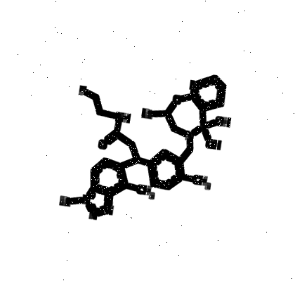 CCC1CN(Cc2cc(C(CC(=O)NCCF)c3ccc4c(nnn4CC)c3C)ccc2C)S(O)(O)c2cccnc2O1